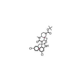 CN(C(=O)N(C1CCC1)C1(Cc2cccc(Cl)c2)C(=O)Nc2cc(Cl)ccc21)C1CCN(C(=O)OC(C)(C)C)CC1